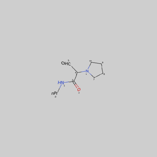 CCCNC(=O)C(C=O)N1CCCC1